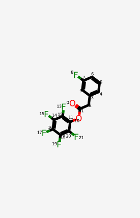 O=C(Cc1cccc(F)c1)Oc1c(F)c(F)c(F)c(F)c1F